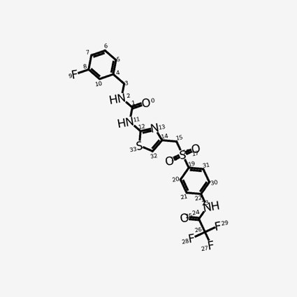 O=C(NCc1cccc(F)c1)Nc1nc(CS(=O)(=O)c2ccc(NC(=O)C(F)(F)F)cc2)cs1